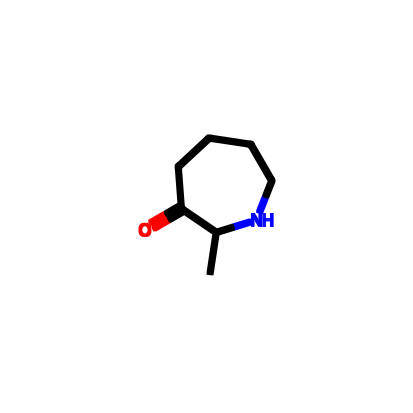 CC1NCCCCC1=O